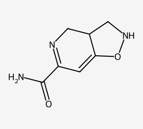 NC(=O)C1=NCC2CNOC2=C1